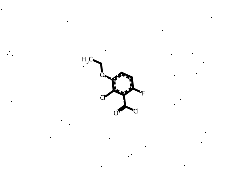 CCOc1ccc(F)c(C(=O)Cl)c1Cl